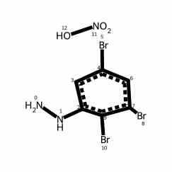 NNc1cc(Br)cc(Br)c1Br.O=[N+]([O-])O